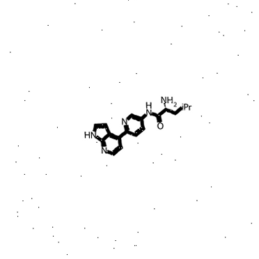 CC(C)C[C@@H](N)C(=O)Nc1ccc(-c2ccnc3[nH]ccc23)nc1